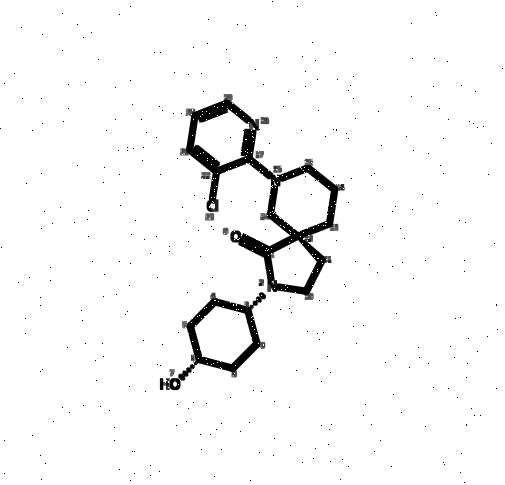 O=C1N([C@H]2CC[C@@H](O)CC2)CC[C@@]12CCCN(c1ncccc1Cl)C2